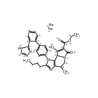 CCCCc1nc2c(n1-c1ccc(-c3ccccc3-c3nnn[nH]3)cc1)C1C(O)=C(C(=O)OCC)C(=O)N1CC2C.[Na].[Na]